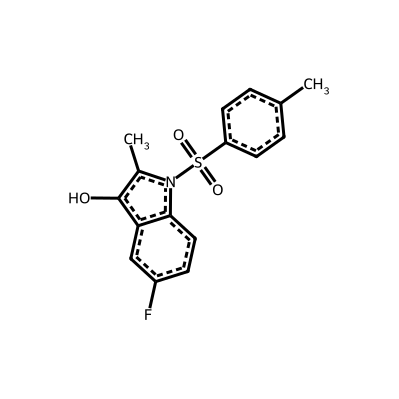 Cc1ccc(S(=O)(=O)n2c(C)c(O)c3cc(F)ccc32)cc1